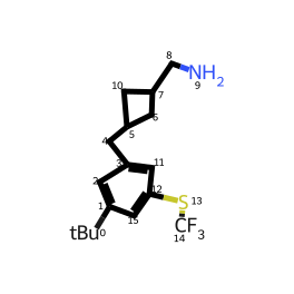 CC(C)(C)c1cc(CC2CC(CN)C2)cc(SC(F)(F)F)c1